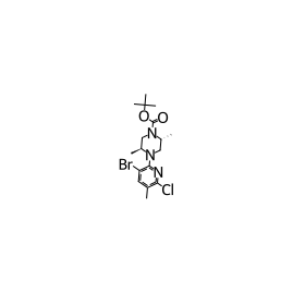 Cc1cc(Br)c(N2C[C@@H](C)N(C(=O)OC(C)(C)C)C[C@@H]2C)nc1Cl